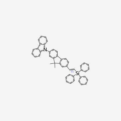 CC1(C)c2cc(/C=C/[Si](c3ccccc3)(c3ccccc3)c3ccccc3)ccc2-c2ccc(-n3c4ccccc4c4ccccc43)cc21